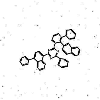 c1ccc(-c2nc(-c3cccc(-c4ccccc4)c3-c3ccc4ccccc4c3)nc(-c3ccc(-c4ccccc4)c4ccccc34)n2)cc1